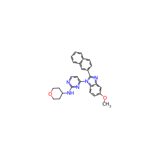 COc1ccc2c(c1)nc(-c1ccc3ccccc3c1)n2-c1ccnc(NC2CCOCC2)n1